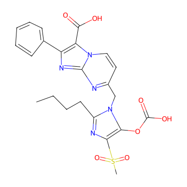 CCCCc1nc(S(C)(=O)=O)c(OC(=O)O)n1Cc1ccn2c(C(=O)O)c(-c3ccccc3)nc2n1